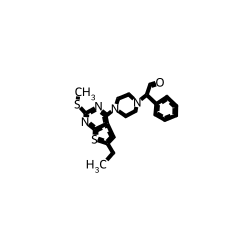 CCc1cc2c(N3CCN(C(C=O)c4ccccc4)CC3)nc(SC)nc2s1